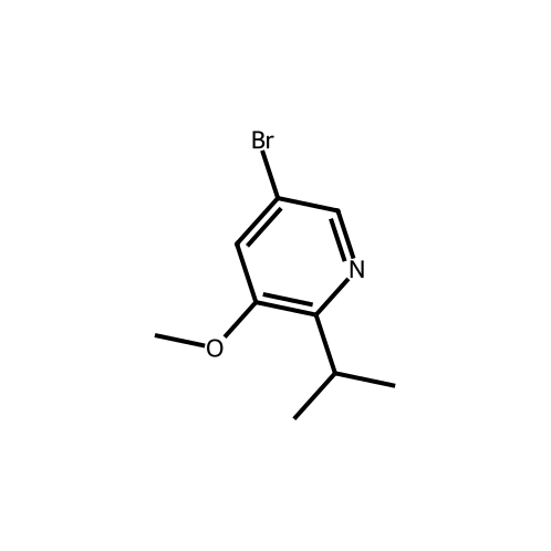 COc1cc(Br)cnc1C(C)C